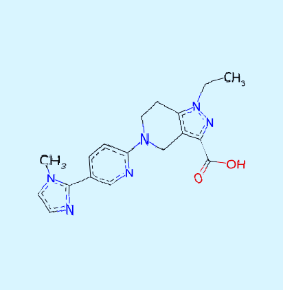 CCn1nc(C(=O)O)c2c1CCN(c1ccc(-c3nccn3C)cn1)C2